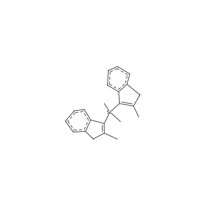 CC1=C([Si](C)(C)C2=C(C)[CH]c3ccccc32)c2ccccc2[CH]1